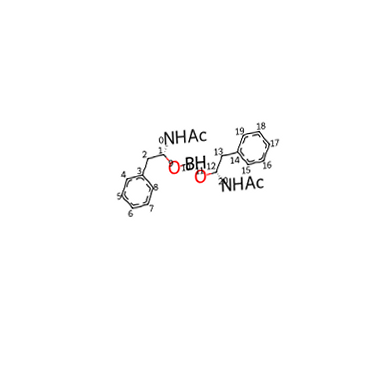 CC(=O)N[C@@H](Cc1ccccc1)OBO[C@H](Cc1ccccc1)NC(C)=O